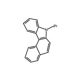 CC(C)n1c2ccccc2c2c3ccccc3ccc21